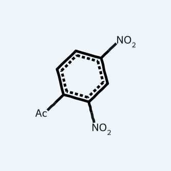 CC(=O)c1ccc([N+](=O)[O-])cc1[N+](=O)[O-]